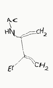 C=C(CC)C(=C)NC(C)=O